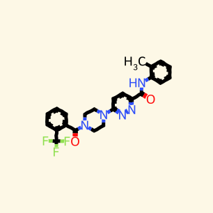 Cc1ccccc1NC(=O)c1ccc(N2CCN(C(=O)c3ccccc3C(F)(F)F)CC2)nn1